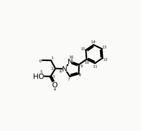 CCC(C(=O)O)n1ccc(-c2ccccc2)n1